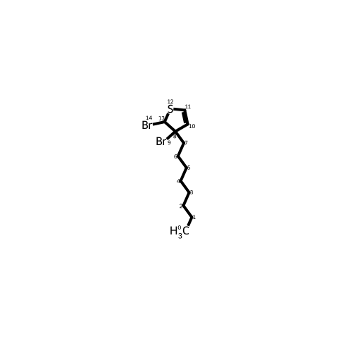 CCCCCCCCC1(Br)C=CSC1Br